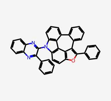 c1ccc(-c2nc3ccccc3nc2-n2c3cccc4c3c3c5c(c(-c6ccccc6)oc5ccc32)-c2ccccc2-4)cc1